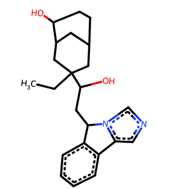 CCC1(C(O)CC2c3ccccc3-c3cncn32)CC2CCC(O)C(C2)C1